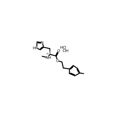 CN[C@@H](Cc1c[nH]cn1)C(=O)OCCc1ccc(C)cc1.Cl.Cl